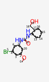 COc1cc(Br)cc(NC(=O)Nc2ccccc2CO)c1